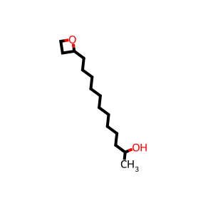 CC(O)CCCCCCCCCCC1CCO1